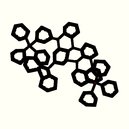 c1ccc(-c2cccc3c2N(c2cccc([Si](c4ccccc4)(c4ccccc4)c4ccccc4)c2)c2cc(-n4c5ccccc5c5ccccc54)cc4c2B3c2ccccc2N4c2cccc([Si](c3ccccc3)(c3ccccc3)c3ccccc3)c2)cc1